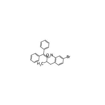 CC(Cc1ccc(Br)cc1[N+](=O)[O-])N=C(c1ccccc1)c1ccccc1